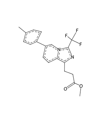 COC(=O)CCc1nc(C(F)(F)F)n2cc(-c3ccc(C)cc3)ccc12